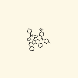 Cc1ccc(N(c2ccc([Si](C)(C)C)cc2)c2cc3c(c4ccccc24)-c2c(ccc4ccccc24)C32c3ccccc3N(c3ccccc3)c3ccccc32)cc1